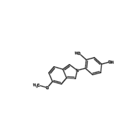 COc1ccc2cn(-c3ccc(O)cc3O)cc2c1